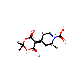 C[C@H]1CC(=C2C(=O)OC(C)(C)OC2=O)CCN1C(=O)O